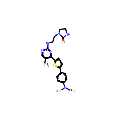 Cc1cnc(NCCN2CCNC2=O)nc1-c1ccc(-c2ccc(N(C)C)cc2)s1